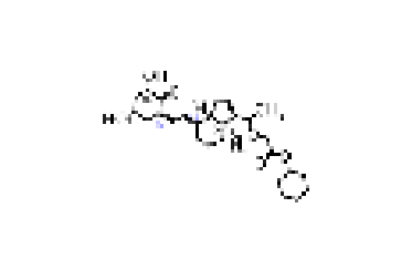 C=C1/C(=C\C=C2/CCC[C@]3(C)C(C(C)OCC(=O)OC4CCCCC4)=CC[C@@H]23)C[C@@H](O)C[C@@H]1O